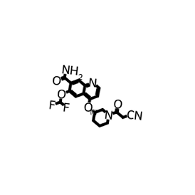 N#CCC(=O)N1CCC[C@@H](Oc2ccnc3cc(C(N)=O)c(OC(F)F)cc23)C1